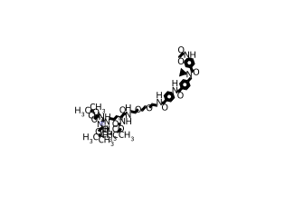 CC(C)(C)OC(=O)/N=C(\NCCC[C@H](NC(=O)OC(C)(C)C)C(=O)NCCOCCOCCNC(=O)c1ccc(NC(=O)c2ccc(CN(C(=O)c3ccc4c(c3)OCC(=O)N4)C3CC3)cc2)cc1)NC(=O)OC(C)(C)C